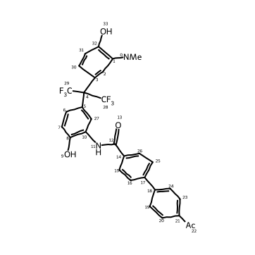 CNc1cc(C(c2ccc(O)c(NC(=O)c3ccc(-c4ccc(C(C)=O)cc4)cc3)c2)(C(F)(F)F)C(F)(F)F)ccc1O